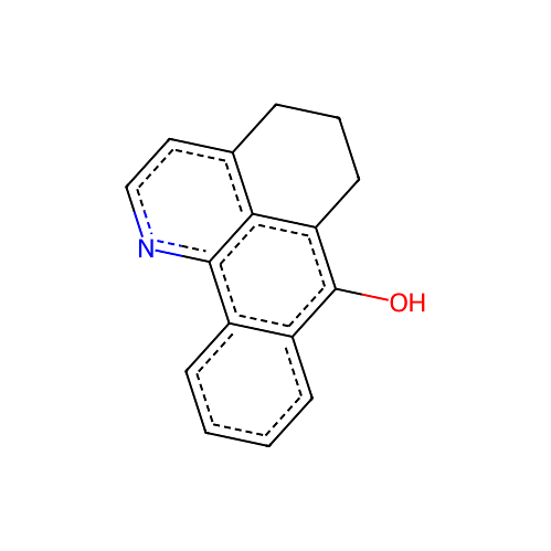 Oc1c2c3c(ccnc3c3ccccc13)CCC2